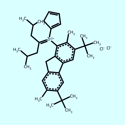 Cc1cc2c(cc1C(C)(C)C)-c1cc(C(C)(C)C)c(C)[c]([Zr+2]([C]3=CC=CC3)=[C](CC(C)C)CC(C)C)c1C2.[Cl-].[Cl-]